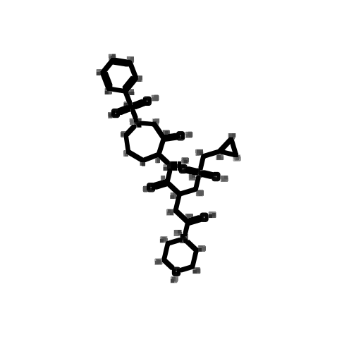 O=C(NC1CCCN(S(=O)(=O)c2ccccc2)CC1=O)C(CC(=O)N1CCOCC1)CS(=O)(=O)CC1CC1